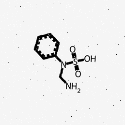 NCN(c1ccccc1)S(=O)(=O)O